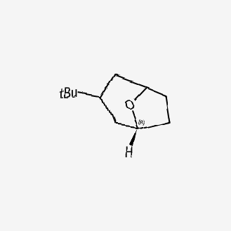 CC(C)(C)C1CC2CC[C@H](C1)O2